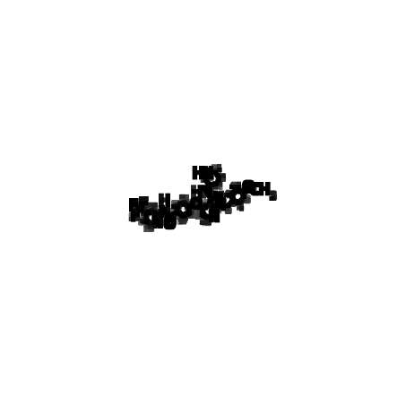 COc1ccc(Cn2nc(NC3CCCNC3)c3c(Oc4ccc(C(=O)Nc5cc(C(F)(F)F)ccn5)cc4)ccnc32)cc1